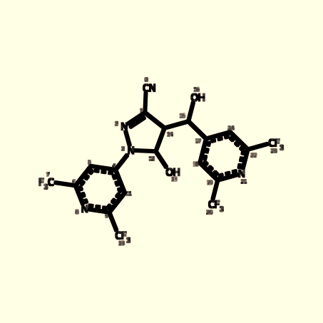 N#CC1=NN(c2cc(C(F)(F)F)nc(C(F)(F)F)c2)C(O)C1C(O)c1cc(C(F)(F)F)nc(C(F)(F)F)c1